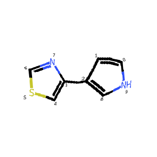 c1cc(-c2cscn2)c[nH]1